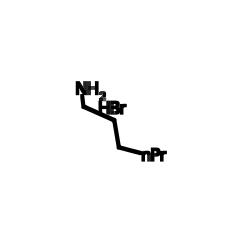 Br.CCCCCCN